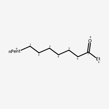 CCCCCCCCCCCC(=O)CC